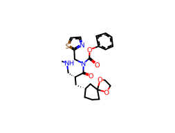 CNC[C@@H](C[C@H]1CCCC2(C1)OCCO2)C(=O)N(Cc1nccs1)C(=O)Oc1ccccc1